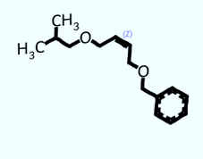 CC(C)COC/C=C\COCc1ccccc1